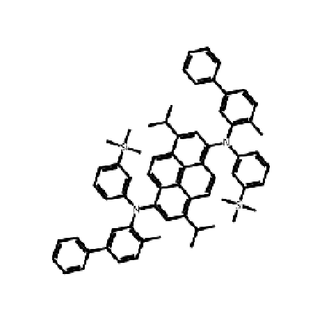 Cc1ccc(-c2ccccc2)cc1N(c1cccc([Si](C)(C)C)c1)c1cc(C(C)C)c2ccc3c(N(c4cccc([Si](C)(C)C)c4)c4cc(-c5ccccc5)ccc4C)cc(C(C)C)c4ccc1c2c43